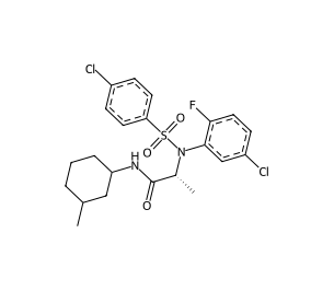 CC1CCCC(NC(=O)[C@@H](C)N(c2cc(Cl)ccc2F)S(=O)(=O)c2ccc(Cl)cc2)C1